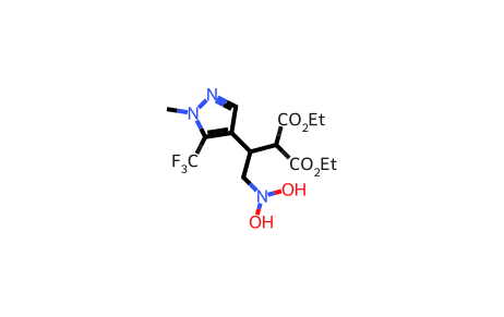 CCOC(=O)C(C(=O)OCC)C(CN(O)O)c1cnn(C)c1C(F)(F)F